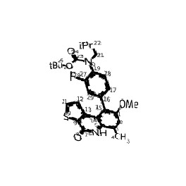 COc1cc(C)c2[nH]c(=O)c3sccc3c2c1-c1ccc(N(CC(C)C)C(=O)OC(C)(C)C)c(F)c1